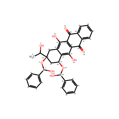 CC(O)[C@]1(OB(O)c2ccccc2)Cc2c(O)c3c(c(O)c2[C@@H](OB(O)c2ccccc2)C1)C(=O)c1ccccc1C3=O